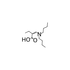 CCCCN(C=C(CC)C(=O)O)CCCC